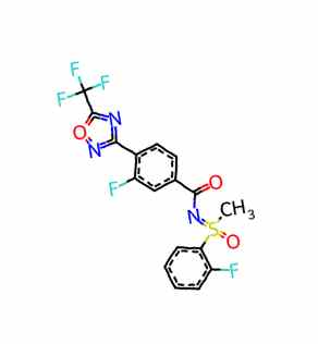 CS(=O)(=NC(=O)c1ccc(-c2noc(C(F)(F)F)n2)c(F)c1)c1ccccc1F